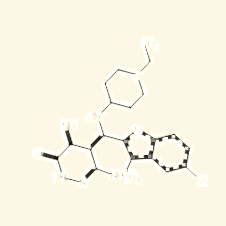 CCN1CCC(N/C(=C2\C(=N)C(=O)NN=C2N)c2oc3ccc(Cl)cc3c2C)CC1